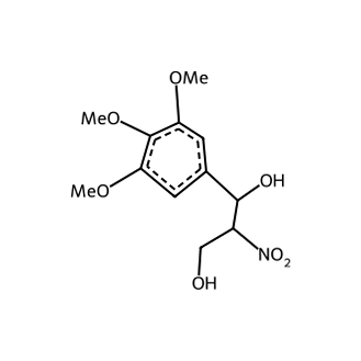 COc1cc(C(O)C(CO)[N+](=O)[O-])cc(OC)c1OC